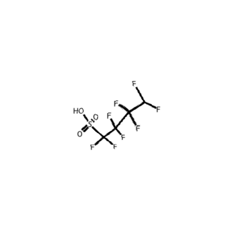 O=S(=O)(O)C(F)(F)C(F)(F)C(F)(F)C(F)F